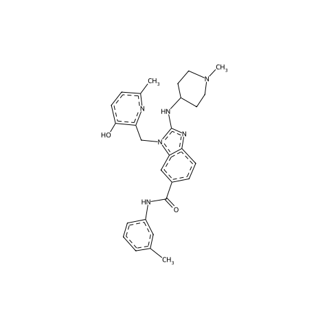 Cc1cccc(NC(=O)c2ccc3nc(NC4CCN(C)CC4)n(Cc4nc(C)ccc4O)c3c2)c1